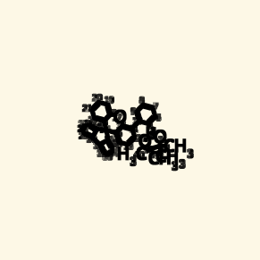 CC1(C)OB(c2ccccc2-c2cccc3c2Oc2ccccc2C32c3ccccc3-c3ccccc32)OC1(C)C